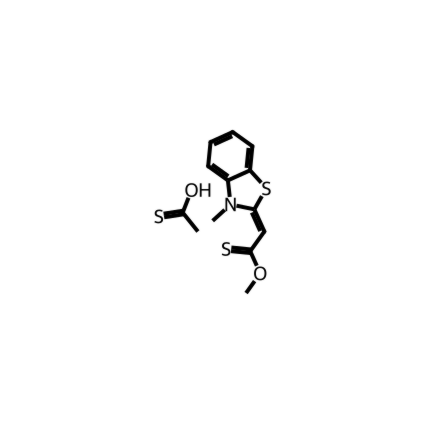 CC(O)=S.COC(=S)C=C1Sc2ccccc2N1C